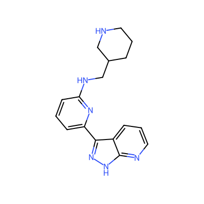 c1cc(NCC2CCCNC2)nc(-c2n[nH]c3ncccc23)c1